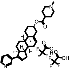 CN1CCC(C(=O)O[C@H]2CC[C@@]3(C)C(=CC[C@@H]4[C@@H]3CC[C@]3(C)C(c5cccnc5)=CC[C@@H]43)C2)CC1.O=C(O)C(F)(F)F.O=C(O)C(F)(F)F